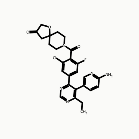 CCc1ncnc(-c2cc(F)c(C(=O)N3CCC4(CC3)CC(=O)CO4)c(Cl)c2)c1-c1ccc(N)nc1